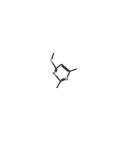 CSc1cc(C)nc(C)n1